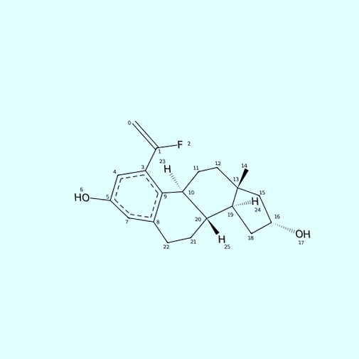 C=C(F)c1cc(O)cc2c1[C@H]1CC[C@]3(C)C[C@H](O)C[C@H]3[C@@H]1CC2